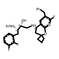 CC(=O)N[C@@H](Cc1cccc(F)c1F)[C@H](O)CN[C@H]1CC2(CCC2)Oc2nc(F)c(CC(C)C)cc21